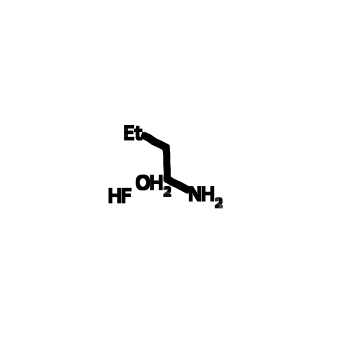 CCCCN.F.O